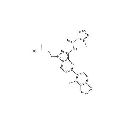 Cn1nccc1C(=O)Nc1nn(CCC(C)(C)O)c2ncc(-c3ccc4c(c3F)OCO4)cc12